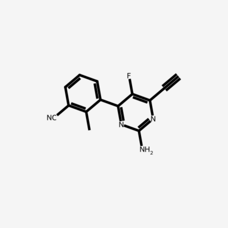 C#Cc1nc(N)nc(-c2cccc(C#N)c2C)c1F